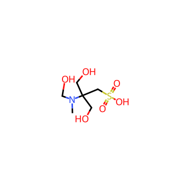 CN(CO)C(CO)(CO)CS(=O)(=O)O